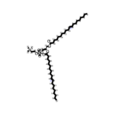 CCCCCCCC/C=C/CCCCCCCCCC(=O)OC[C@H](COP(=O)(O)OCC[N+](C)(C)C)OC(=O)CCCCCCCCC/C=C/CCCCCCCC